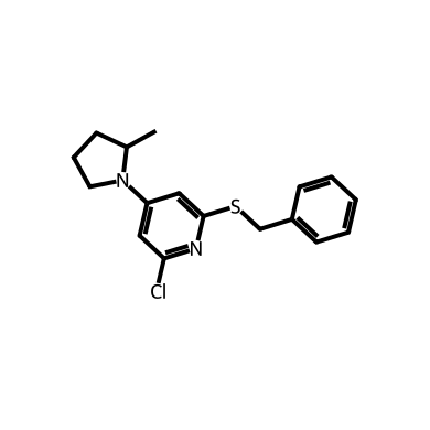 CC1CCCN1c1cc(Cl)nc(SCc2ccccc2)c1